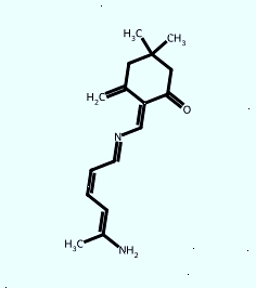 C=C1CC(C)(C)CC(=O)/C1=C/N=C/C=C\C=C(/C)N